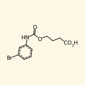 O=C(O)CCCOC(=O)Nc1cccc(Br)c1